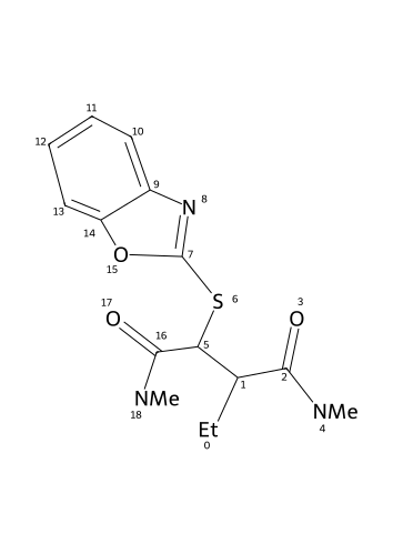 CCC(C(=O)NC)C(Sc1nc2ccccc2o1)C(=O)NC